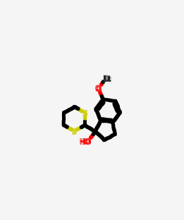 CCOc1ccc2c(c1)C(O)(C1SCCCS1)CC2